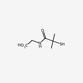 CC(C)(S)C(=O)NCC(=O)O